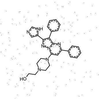 OCCN1CCN(c2cc(-c3ccccc3)nc3c(-c4ccccc4)c(-c4cnc[nH]4)nn23)CC1